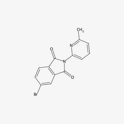 Cc1cccc(N2C(=O)c3ccc(Br)cc3C2=O)n1